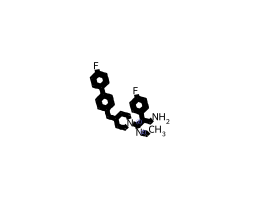 C/C=N\C(=C(/CN)c1ccc(F)cc1)N1CCC(Cc2ccc(-c3ccc(F)cc3)cc2)CC1